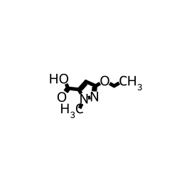 CCOc1cc(C(=O)O)n(C)n1